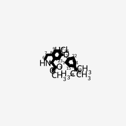 COC(=O)C1NCCc2ccc(Oc3ccc(C(C)(C)C)cc3)cc21.Cl